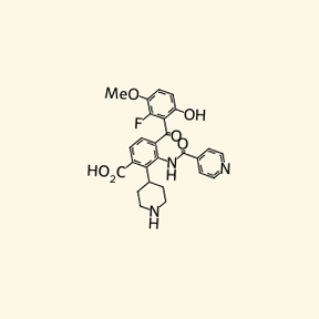 COc1ccc(O)c(C(=O)c2ccc(C(=O)O)c(C3CCNCC3)c2NC(=O)c2ccncc2)c1F